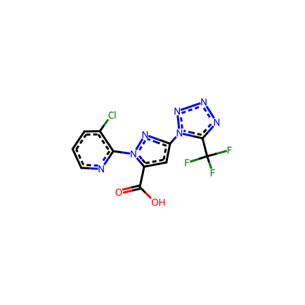 O=C(O)c1cc(-n2nnnc2C(F)(F)F)nn1-c1ncccc1Cl